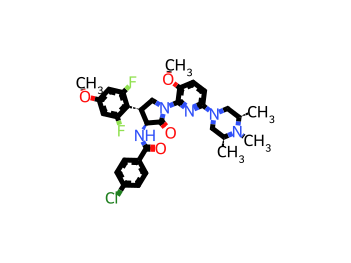 COc1cc(F)c([C@@H]2CN(c3nc(N4C[C@@H](C)N(C)[C@@H](C)C4)ccc3OC)C(=O)[C@H]2NC(=O)c2ccc(Cl)cc2)c(F)c1